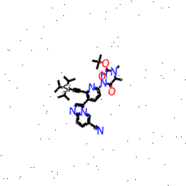 CC(C(=O)Nc1ccc(-c2cnc3ccc(C#N)cn23)c(C#C[Si](C(C)C)(C(C)C)C(C)C)n1)N(C)C(=O)OC(C)(C)C